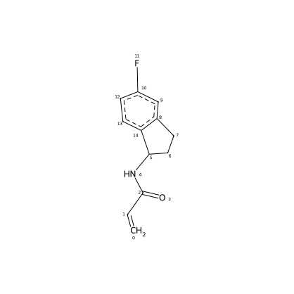 C=CC(=O)NC1CCc2cc(F)ccc21